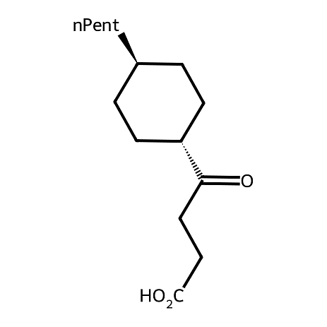 CCCCC[C@H]1CC[C@H](C(=O)CCC(=O)O)CC1